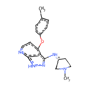 Cc1ccc(Oc2ccnc3[nH]nc(N[C@@H]4CCN(C)C4)c23)cc1